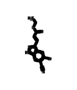 CCOC(=O)C=Cc1n[nH]c2cc(C#N)c(Br)cc12